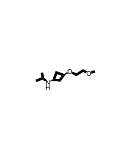 COCCO[C@H]1C[C@H](NC(C)C)C1